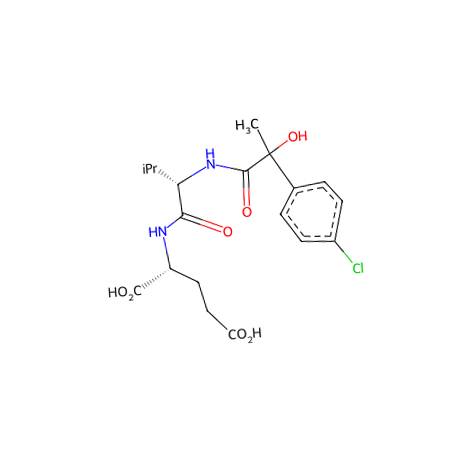 CC(C)[C@H](NC(=O)C(C)(O)c1ccc(Cl)cc1)C(=O)N[C@H](CCC(=O)O)C(=O)O